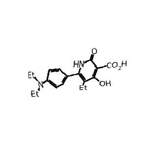 CCc1c(-c2ccc(N(CC)CC)cc2)[nH]c(=O)c(C(=O)O)c1O